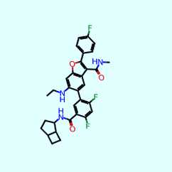 CCNc1cc2oc(-c3ccc(F)cc3)c(C(=O)NC)c2cc1-c1cc(C(=O)NC2CCC3CCC32)c(F)cc1F